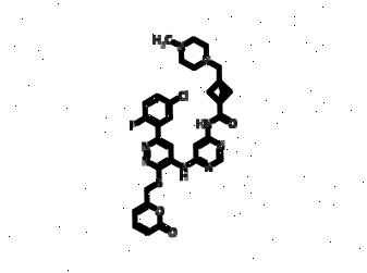 CN1CCN(CC23CC(C(=O)Nc4cc(Nc5cc(-c6cc(Cl)ccc6F)nnc5SCc5cccc(=O)o5)ncn4)(C2)C3)CC1